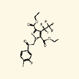 CCOC(=O)c1nn(CC(=O)c2ccc(C)c(F)c2)c(C(=O)OCC)c1C(F)(F)C(F)(F)F